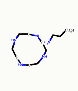 C1CNCCNCCNCCN1.NCCC(=O)O